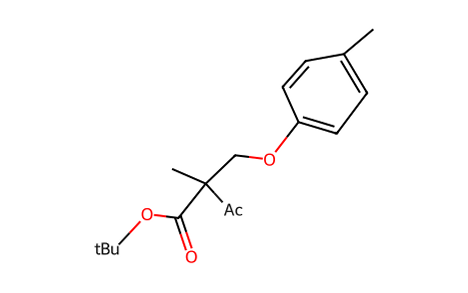 CC(=O)C(C)(COc1ccc(C)cc1)C(=O)OC(C)(C)C